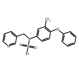 CCS(=O)(=O)N(Cc1cccnc1)c1ccc(Oc2ccccc2)c(C(F)(F)F)c1